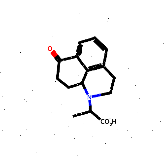 CC(C(=O)O)N1CCc2cccc3c2C1CCC3=O